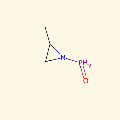 CC1CN1[PH2]=O